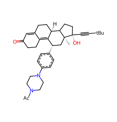 CC(=O)N1CCN(c2ccc([C@H]3C[C@@]4(C)C(CC[C@@]4(O)C#CC(C)(C)C)[C@@H]4CCC5=CC(=O)CCC5=C43)cc2)CC1